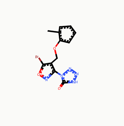 Cc1ccccc1OCc1c(-n2nn[nH]c2=O)noc1Br